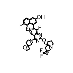 CCc1c(F)ccc2cc(O)cc(-c3ncc4c(N5CCC6(CCO6)C5)nc(OC[C@@]56CCCN5C[C@@]5(CC5(F)F)C6)nc4c3F)c12